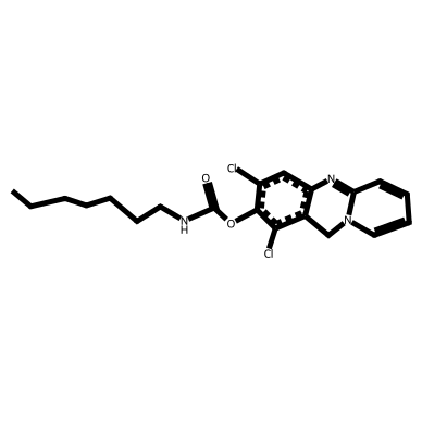 CCCCCCCNC(=O)Oc1c(Cl)cc2c(c1Cl)CN1C=CC=CC1=N2